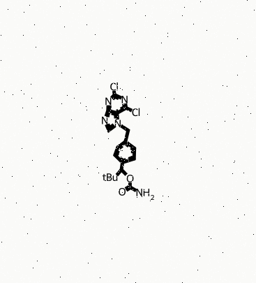 CC(C)(C)C(OC(N)=O)c1ccc(Cn2cnc3nc(Cl)nc(Cl)c32)cc1